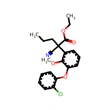 CCCC(C#N)(C(=O)OCC)c1cccc(Oc2ccccc2Cl)c1OC